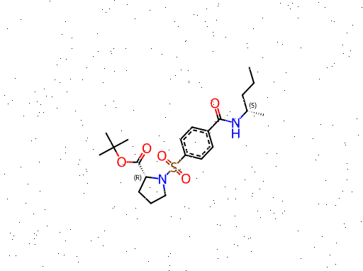 CCC[C@H](C)NC(=O)c1ccc(S(=O)(=O)N2CCC[C@@H]2C(=O)OC(C)(C)C)cc1